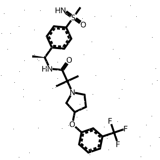 C[C@H](NC(=O)C(C)(C)N1CCC(Oc2cccc(C(F)(F)F)c2)C1)c1ccc(S(C)(=N)=O)cc1